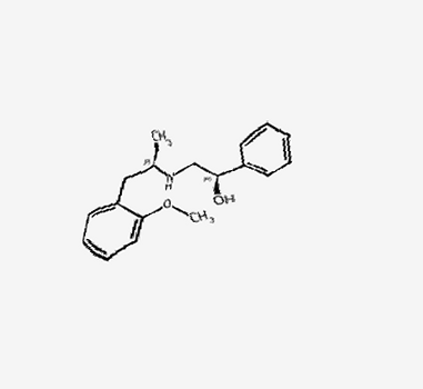 COc1ccccc1C[C@@H](C)NC[C@H](O)c1ccccc1